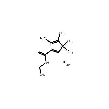 CCN[C](=[Ti])C1=CC(C)(C)C(C)=C1C.Cl.Cl